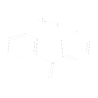 NCl.O=C(c1ccccc1)c1ccccc1